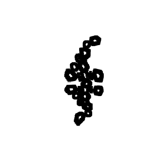 c1ccc(Oc2ccc3c(c2)oc2c4c5c(cc23)N(c2ccccc2)c2cc3c(cc2B5c2ccccc2O4)B2c4ccccc4Oc4c2c(cc2c4oc4cc(Oc5ccccc5)ccc42)N3c2ccccc2)cc1